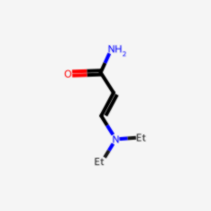 CCN(C=CC(N)=O)CC